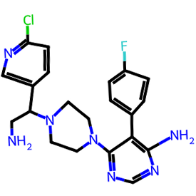 NCC(c1ccc(Cl)nc1)N1CCN(c2ncnc(N)c2-c2ccc(F)cc2)CC1